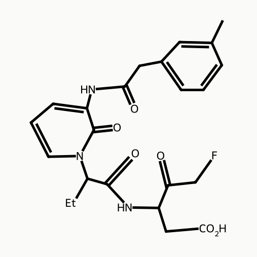 CCC(C(=O)NC(CC(=O)O)C(=O)CF)n1cccc(NC(=O)Cc2cccc(C)c2)c1=O